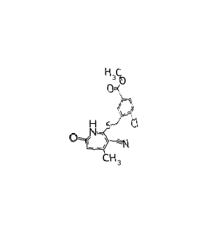 COC(=O)c1ccc(Cl)c(CSc2[nH]c(=O)cc(C)c2C#N)c1